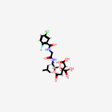 CC(C)C[C@H](NC(=O)CNC(=O)c1cc(Cl)ccc1F)B1OC(=O)CC(CC(=O)O)(C(=O)O)O1